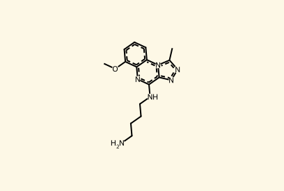 COc1cccc2c1nc(NCCCCN)c1nnc(C)n12